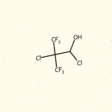 OC(Cl)C(Cl)(C(F)(F)F)C(F)(F)F